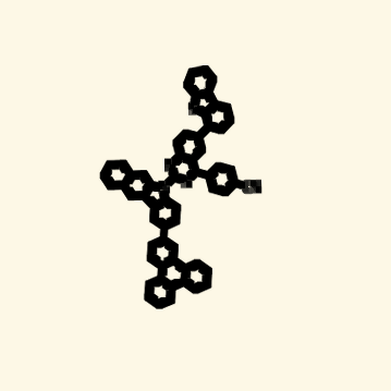 N#Cc1ccc(-c2nc(-n3c4ccc(-c5ccc6c7ccccc7c7ccccc7c6c5)cc4c4cc5ccccc5cc43)nc3ccc(-c4cccc5c4sc4ccccc45)cc23)cc1